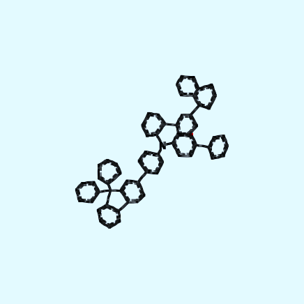 c1ccc(-c2ccc(N(c3ccc(-c4ccc5c(c4)C(c4ccccc4)(c4ccccc4)c4ccccc4-5)cc3)c3ccccc3-c3cccc(-c4cccc5ccccc45)c3)cc2)cc1